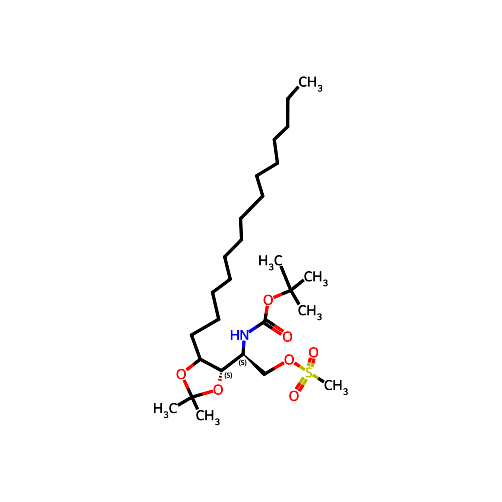 CCCCCCCCCCCCCCC1OC(C)(C)O[C@H]1[C@H](COS(C)(=O)=O)NC(=O)OC(C)(C)C